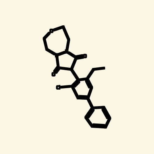 CCc1cc(-c2ccccc2)cc(Cl)c1C1C(=O)N2CCOCCN2C1=O